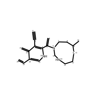 C#CC1=C(C(=C)N2CCC(C)CCCNC2)NC=C(C=C)C1=C